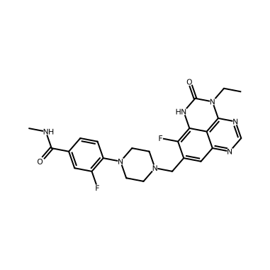 CCN1C(=O)Nc2c(F)c(CN3CCN(c4ccc(C(=O)NC)cc4F)CC3)cc3ncnc1c23